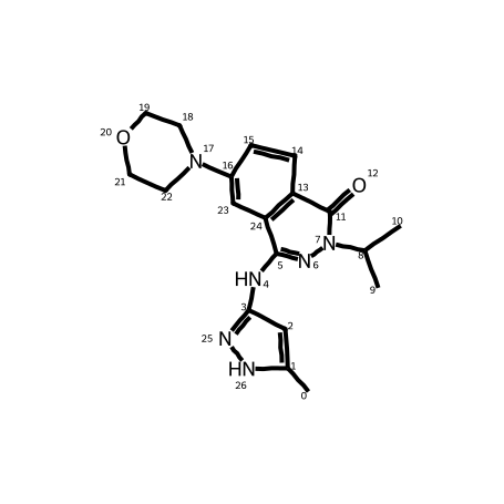 Cc1cc(Nc2nn(C(C)C)c(=O)c3ccc(N4CCOCC4)cc23)n[nH]1